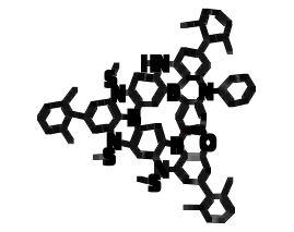 CSN1c2cc3c(cc2B2c4ccccc4Oc4cc(-c5c(C)cccc5C)cc1c42)B1c2cc4c(cc2N(SC)c2cc(-c5c(C)cccc5C)cc(c21)N3SC)Nc1cc(-c2c(C)cccc2C)cc2c1B4c1ccccc1N2c1ccccc1